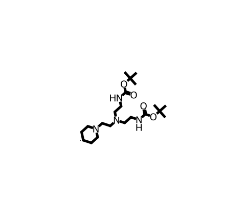 CC(C)(C)OC(=O)NCCN(CCNC(=O)OC(C)(C)C)CCN1CC[CH]CC1